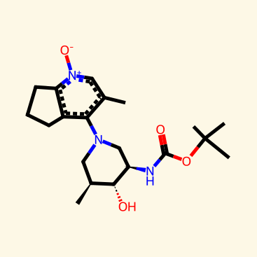 Cc1c[n+]([O-])c2c(c1N1C[C@H](C)[C@@H](O)[C@H](NC(=O)OC(C)(C)C)C1)CCC2